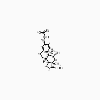 CCC(=O)NN=C1C=CC2(C)C(=C1)CC[C@@H]1C2C(O)CC2(C)C(C=O)CCC12